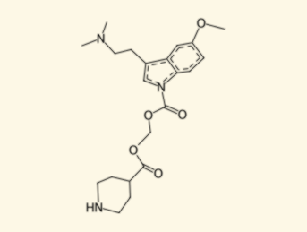 COc1ccc2c(c1)c(CCN(C)C)cn2C(=O)OCOC(=O)C1CCNCC1